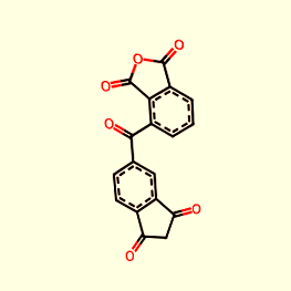 O=C1CC(=O)c2cc(C(=O)c3cccc4c3C(=O)OC4=O)ccc21